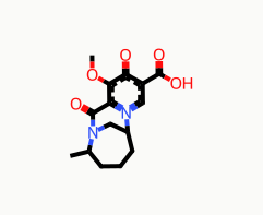 COc1c2n(cc(C(=O)O)c1=O)C1CCCC(C)N(C1)C2=O